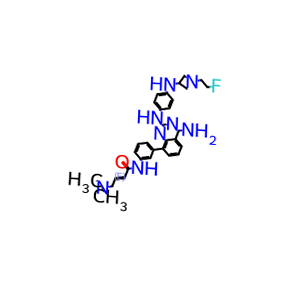 CN(C)C/C=C/C(=O)Nc1cccc(-c2cccc3c(N)nc(Nc4ccc(NC5CN(CCF)C5)cc4)nc23)c1